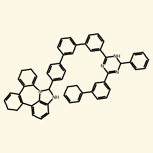 C1=CCCC(c2cccc(C3=NC(c4ccccc4)NC(c4cccc(-c5cccc(-c6ccc(C7Nc8cccc9c8N7C7=CCCC=C7C7=C9CCC=C7)cc6)c5)c4)=N3)c2)=C1